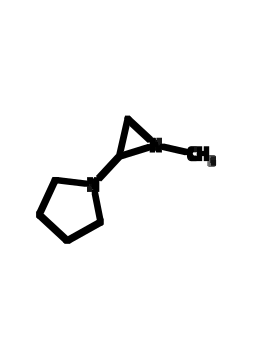 CN1CC1N1CCCC1